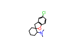 CN(C)C1CCCCC12Cc1cc(Cl)ccc1O2